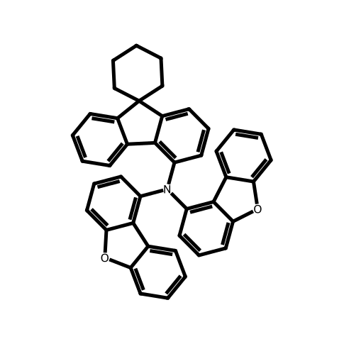 c1ccc2c(c1)-c1c(N(c3cccc4oc5ccccc5c34)c3cccc4oc5ccccc5c34)cccc1C21CCCCC1